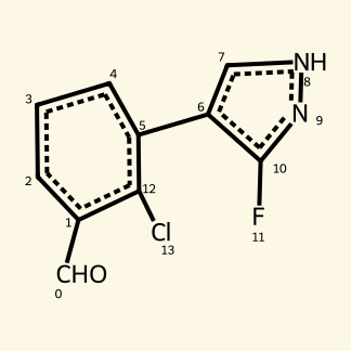 O=Cc1cccc(-c2c[nH]nc2F)c1Cl